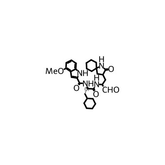 COc1cccc2[nH]c(C(=O)N[C@@H](CC3CCCCC3)C(=O)NC(C=O)CC3CC4(CCCCC4)NC3=O)cc12